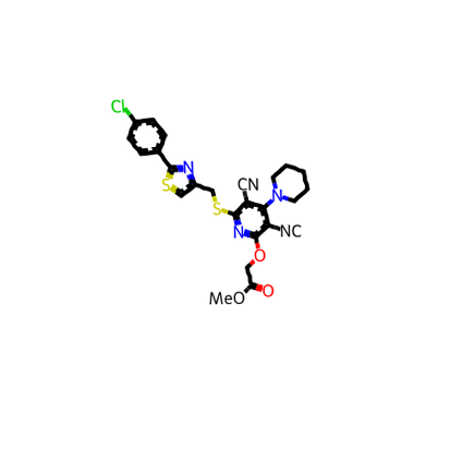 [C-]#[N+]c1c(OCC(=O)OC)nc(SCc2csc(-c3ccc(Cl)cc3)n2)c(C#N)c1N1CCCCC1